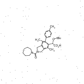 Cc1ccc(-c2c(C)c3c(c(C)c2C(OC(C)(C)C)C(=O)O)CN(C(=O)N2CCCCCC2)C3)cc1